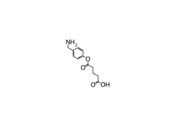 NCc1ccc(OC(=O)CCCC(=O)O)cc1